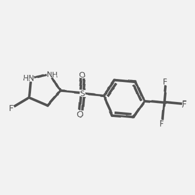 O=S(=O)(c1ccc(C(F)(F)F)cc1)C1CC(F)NN1